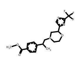 COC(=O)c1ccc(C(C)CN2CCOC(c3csc(C(F)(F)F)n3)C2)cc1